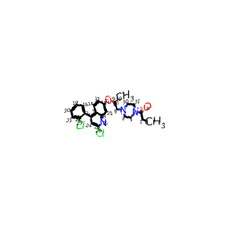 CCC(=O)N1CCN(C[C@@H](C)Oc2ccc3c(-c4ccccc4Cl)cc(Cl)nc3c2)CC1